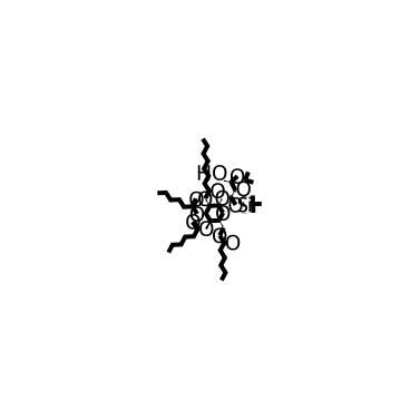 CCCCCCCC(=O)O[C@@H]1[C@H](OC(O[Si](C)(C)C(C)(C)C)[C@H]2OC(C)(C)O[C@H]2CO)O[C@H](COC(=O)CCCCC)[C@@H](OC(=O)CCCCC)[C@@H]1OC(=O)CCCCC